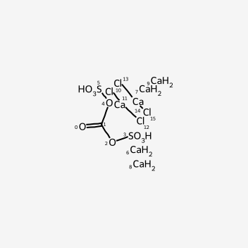 O=C(OS(=O)(=O)O)OS(=O)(=O)O.[CaH2].[CaH2].[CaH2].[CaH2].[Cl][Ca][Cl].[Cl][Ca][Cl]